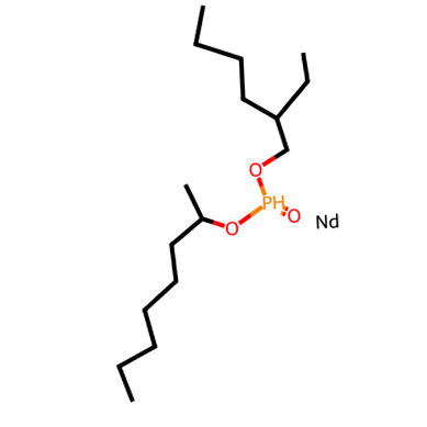 CCCCCCC(C)O[PH](=O)OCC(CC)CCCC.[Nd]